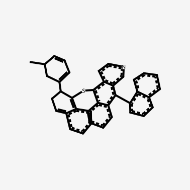 CC1C=CC=C(C2CC=c3ccccc3=C2Sc2c3ccccc3c(-c3cccc4ccccc34)c3cnccc23)C1